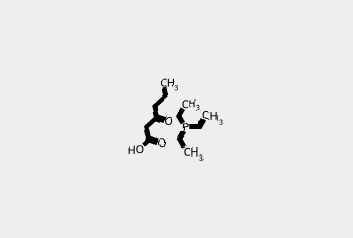 CCCC(=O)CC(=O)O.CCP(CC)CC